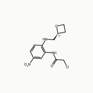 O=C(CCl)Nc1cc([N+](=O)[O-])ccc1NC[C@@H]1CCO1